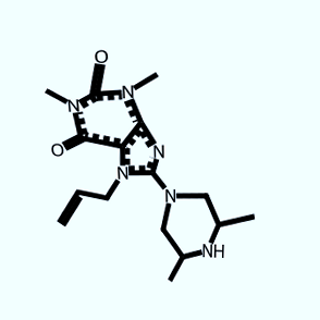 C=CCn1c(N2CC(C)NC(C)C2)nc2c1c(=O)n(C)c(=O)n2C